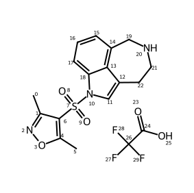 Cc1noc(C)c1S(=O)(=O)n1cc2c3c(cccc31)CNCC2.O=C(O)C(F)(F)F